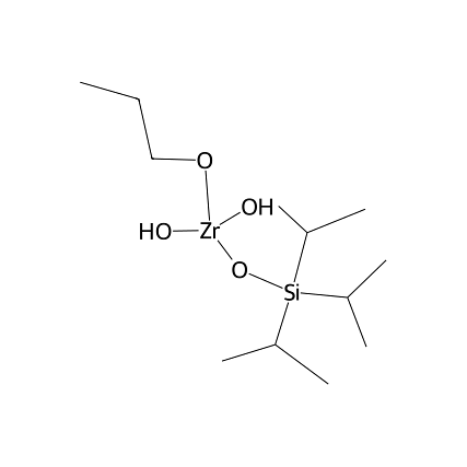 CCC[O][Zr]([OH])([OH])[O][Si](C(C)C)(C(C)C)C(C)C